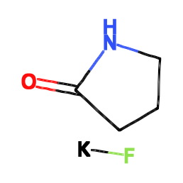 O=C1CCCN1.[F][K]